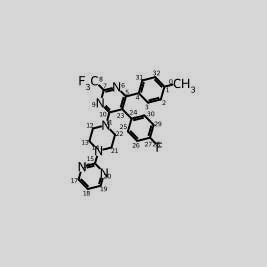 Cc1ccc(-c2nc(C(F)(F)F)nc(N3CCN(c4ncccn4)CC3)c2-c2ccc(F)cc2)cc1